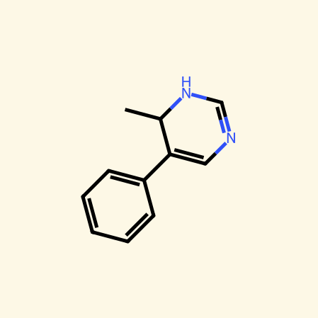 CC1NC=NC=C1c1ccccc1